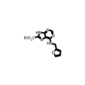 CCOC(=O)c1nc2c(NCc3ccco3)ncnc2[nH]1